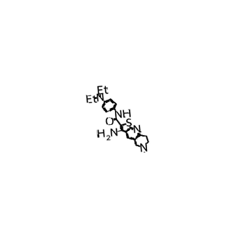 CCN(CC)c1ccc(NC(=O)c2sc3nc4c(cc3c2N)CN(C)CC4)cc1